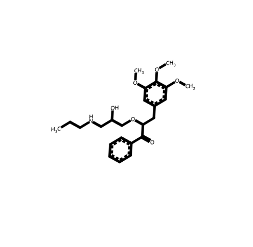 CCCNCC(O)COC(Cc1cc(OC)c(OC)c(OC)c1)C(=O)c1ccccc1